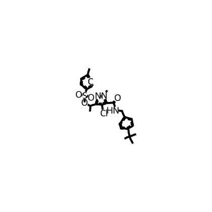 Cc1ccc(S(=O)(=O)OC(C)c2nn(C)c(C(=O)NCc3ccc(C(C)(C)C)cc3)c2Cl)cc1